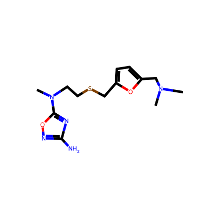 CN(C)Cc1ccc(CSCCN(C)c2nc(N)no2)o1